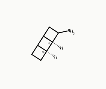 BC1CC2C3CC[C@@H]3[C@H]12